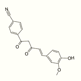 COc1cc(/C=C/C(=O)CC(=O)c2ccc(C#N)cc2)ccc1O